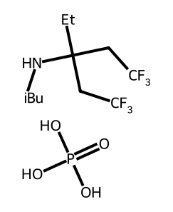 CCC(C)NC(CC)(CC(F)(F)F)CC(F)(F)F.O=P(O)(O)O